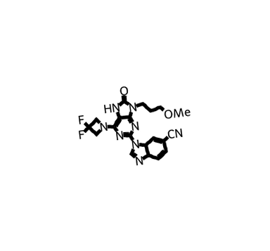 COCCCn1c(=O)[nH]c2c(N3CC(F)(F)C3)nc(N3C=NC4C=CC(C#N)=CC43)nc21